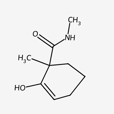 CNC(=O)C1(C)CCCC=C1O